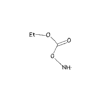 CCOC(=O)O[NH]